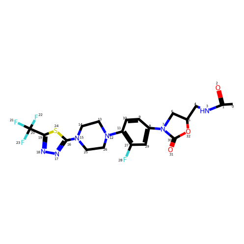 CC(=O)NCC1CN(c2ccc(N3CCN(c4nnc(C(F)(F)F)s4)CC3)c(F)c2)C(=O)O1